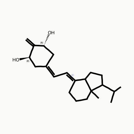 C=C1[C@H](O)CC(=C/C=C2\CCCC3(C)C2CCC3C(C)C)C[C@H]1O